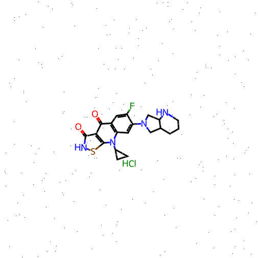 Cl.O=c1[nH]sc2c1c(=O)c1cc(F)c(N3CC4CCCNC4C3)cc1n2C1CC1